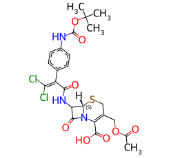 CC(=O)OCC1=C(C(=O)O)N2C(=O)C(NC(=O)C(=C(Cl)Cl)c3ccc(NC(=O)OC(C)(C)C)cc3)[C@@H]2SC1